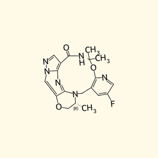 C[C@@H]1COc2cn3ncc4c3nc2N1Cc1cc(F)cnc1OC(C)(C)NC4=O